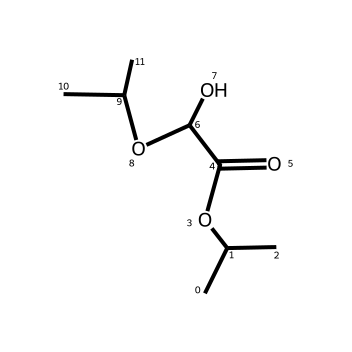 CC(C)OC(=O)C(O)OC(C)C